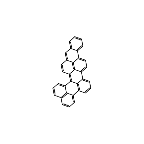 c1ccc2c(c1)cc1ccc3c4c(ccc2c14)c1cccc2c4cccc5cccc(c54)c3c21